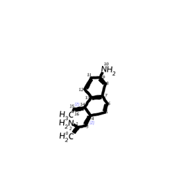 C=C(N)/C=c1/ccc2cc(N)ccc2/c1=C/C